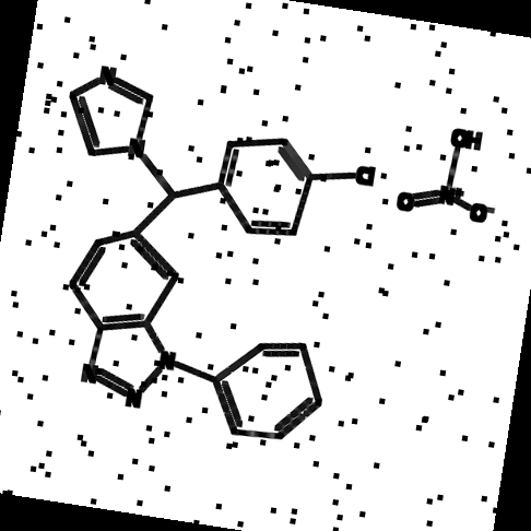 Clc1ccc(C(c2ccc3nnn(-c4ccccc4)c3c2)n2ccnc2)cc1.O=[N+]([O-])O